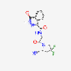 Cn1nc(C(=O)NCC(=O)N2CC(F)(F)CC2C#N)c2ccccc2c1=O